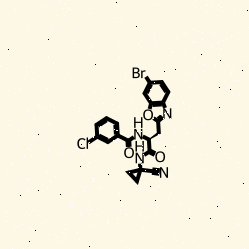 N#CC1(NC(=O)[C@H](Cc2nc3ccc(Br)cc3o2)NC(=O)c2cccc(Cl)c2)CC1